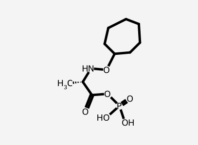 C[C@H](NOC1CCCCCC1)C(=O)OP(=O)(O)O